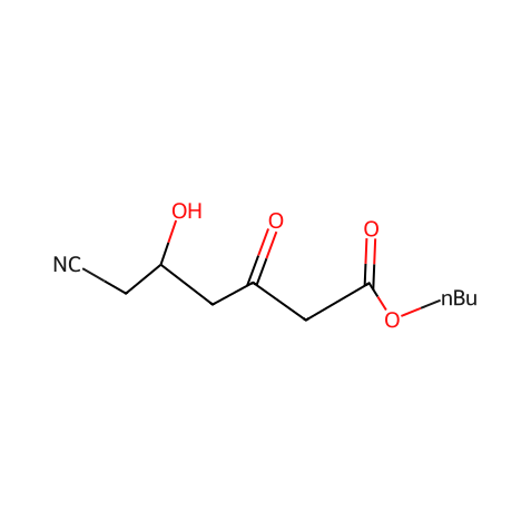 CCCCOC(=O)CC(=O)CC(O)CC#N